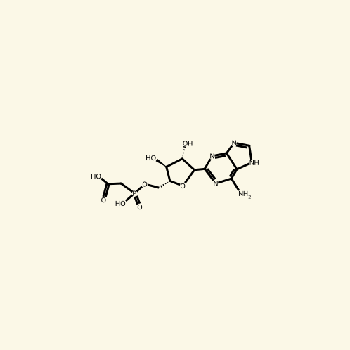 Nc1nc(C2O[C@H](COP(=O)(O)CC(=O)O)[C@@H](O)[C@@H]2O)nc2nc[nH]c12